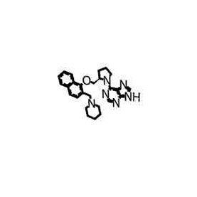 c1ccc2c(OC[C@H]3CCCN3c3ncnc4[nH]cnc34)c(CN3CCCCC3)ccc2c1